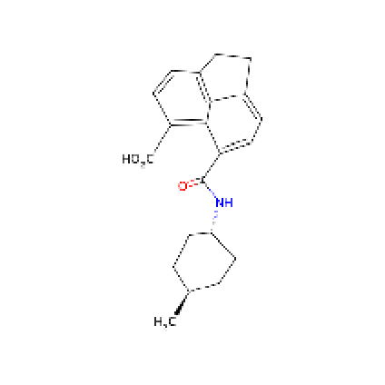 C[C@H]1CC[C@H](NC(=O)c2ccc3c4c(ccc(C(=O)O)c24)CC3)CC1